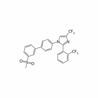 CS(=O)(=O)c1cccc(-c2ccc(-n3cc(C(F)(F)F)nc3-c3ccccc3C(F)(F)F)cc2)c1